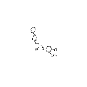 Cc1cc(OCC(O)CCN2CCN(c3ccccc3)CC2)ccc1Cl